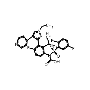 CCn1cc(-c2ccncc2)c(-c2c(F)ccc(N(C(=O)O)S(=O)(=O)c3cc(F)ccc3F)c2C(C)C)n1